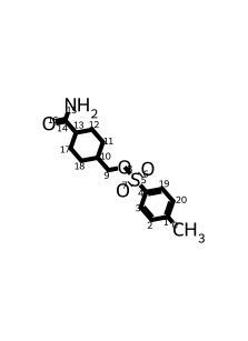 Cc1ccc(S(=O)(=O)OCC2CCC(C(N)=O)CC2)cc1